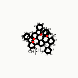 Cc1cc2c(c(-c3ccc(-c4c(-c5ccccc5)ccc5[se]c6ccccc6c45)c(-c4ccnnn4)c3-c3c(C)c(C)cc4c3Cc3ccccc3-4)c1C)Cc1ccccc1-2